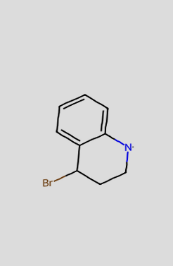 BrC1CC[N]c2ccccc21